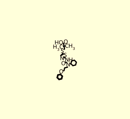 CC(C)(CSc1cnc(NC(=O)N(CCCOc2ccccc2)C2CCCCC2)s1)C(=O)O